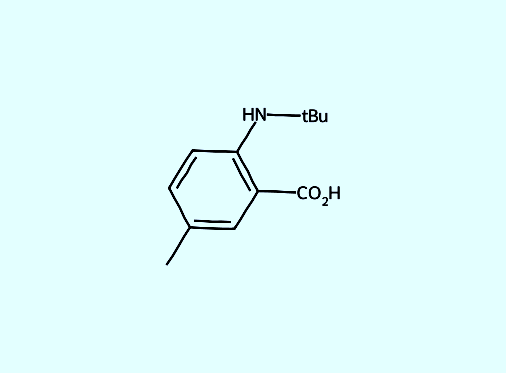 Cc1ccc(NC(C)(C)C)c(C(=O)O)c1